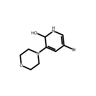 OC1NC=C(Br)C=C1N1CCOCC1